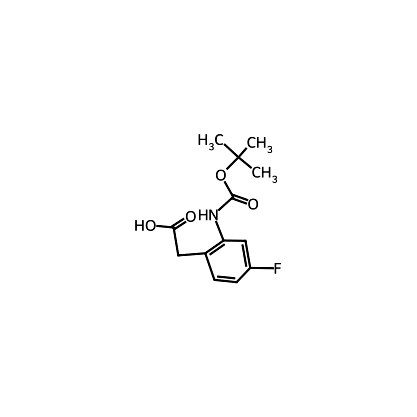 CC(C)(C)OC(=O)Nc1cc(F)ccc1CC(=O)O